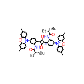 CCCCC(CC)C(=O)NC1=CC(=[N+]2c3ccc(C)cc3Oc3cc(C)ccc32)C=C/C1=C1\C(=O)C(c2ccc(N3c4ccc(C)cc4Oc4cc(C)ccc43)cc2NC(=O)C(CC)CCCC)=C1[O-]